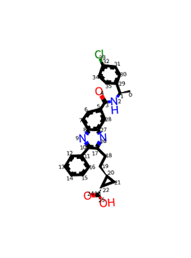 C[C@@H](NC(=O)c1ccc2nc(-c3ccccc3)c(CC[C@H]3C[C@@H]3C(=O)O)nc2c1)c1ccc(Cl)cc1